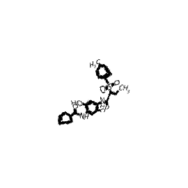 CCC(C(=O)Nc1cc(O)c(NC(=O)c2ccccc2)cc1Cl)S(=O)(=O)c1ccc(C)cc1